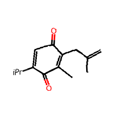 C=C(C)CC1=C(C)C(=O)C(C(C)C)=CC1=O